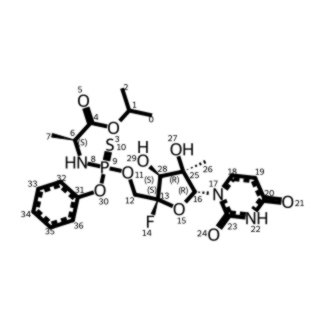 CC(C)OC(=O)[C@H](C)NP(=S)(OC[C@@]1(F)O[C@@H](n2ccc(=O)[nH]c2=O)[C@](C)(O)[C@@H]1O)Oc1ccccc1